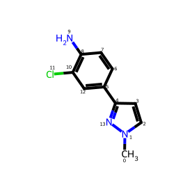 Cn1ccc(-c2ccc(N)c(Cl)c2)n1